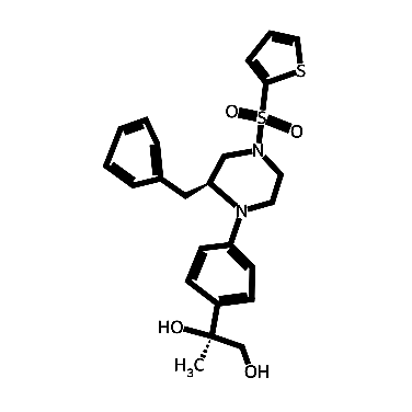 C[C@@](O)(CO)c1ccc(N2CCN(S(=O)(=O)c3cccs3)C[C@@H]2Cc2ccccc2)cc1